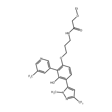 CCOCC(=O)NCCCOc1ccc(-c2cc(C(F)(F)F)nn2C)c(O)c1-c1cncc(C(F)(F)F)c1